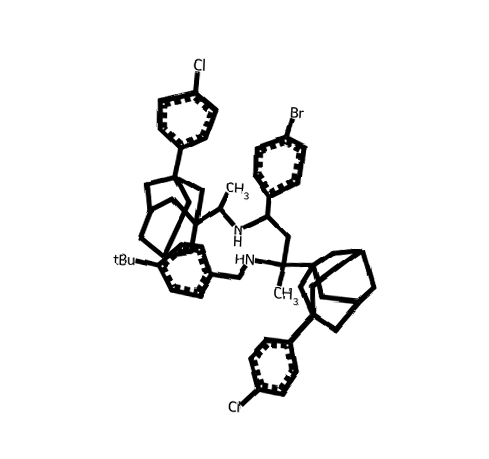 CC(NC(CC(C)(NCc1ccc(C(C)(C)C)cc1)C12CC3CC(CC(c4ccc(Cl)cc4)(C3)C1)C2)c1ccc(Br)cc1)C12CC3CC(CC(c4ccc(Cl)cc4)(C3)C1)C2